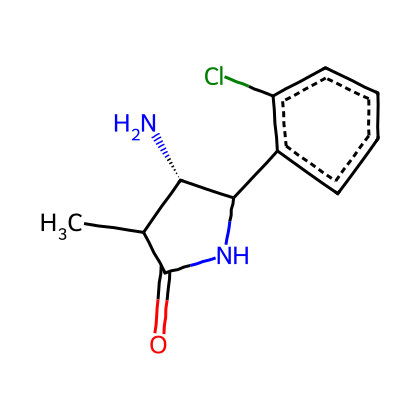 CC1C(=O)NC(c2ccccc2Cl)[C@H]1N